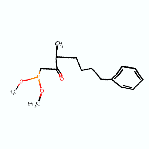 COP(CC(=O)C(C)CCCCc1ccccc1)OC